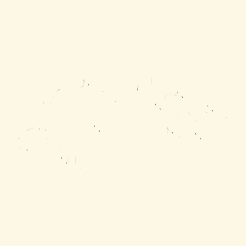 Nc1ncnc2c1ncn2[C@@H]1O[C@H](CN(CCC(N)c2ccccc2)CC[C@H](N)C(=O)O)[C@@H](O)[C@H]1O